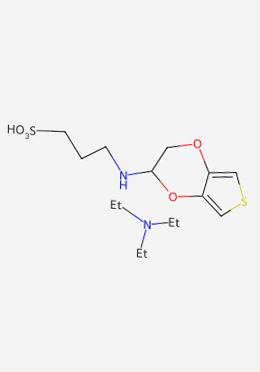 CCN(CC)CC.O=S(=O)(O)CCCNC1COc2cscc2O1